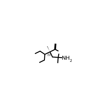 C=C(C)[C@@](C)(CC(C)(C)N)C(CC)CC